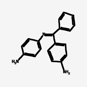 Nc1ccc(N=C(c2ccccc2)c2ccc(N)cc2)cc1